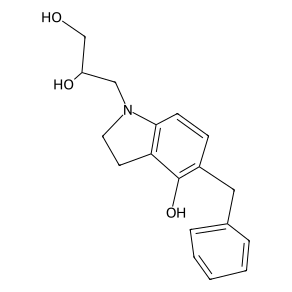 OCC(O)CN1CCc2c1ccc(Cc1ccccc1)c2O